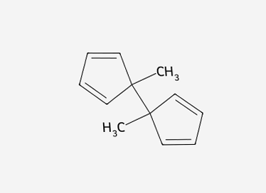 CC1(C2(C)C=CC=C2)C=CC=C1